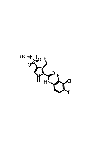 CC(C)(C)NS(=O)(=O)c1c[nH]c(C(=O)Nc2ccc(F)c(Cl)c2F)c1CF